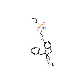 CN1C2C1C21Cc2ccc(OCCNS(=O)(=O)C3CCC3)cc2C1Cc1ccccc1